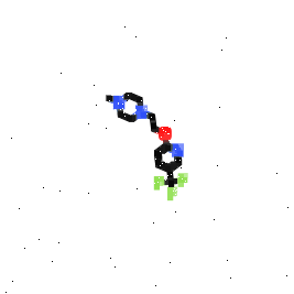 CN1CCN(CCOc2ccc(C(F)(F)F)cn2)CC1